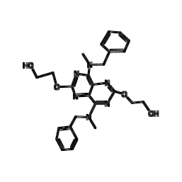 CN(Cc1ccccc1)c1nc(OCCO)nc2c(N(C)Cc3ccccc3)nc(OCCO)nc12